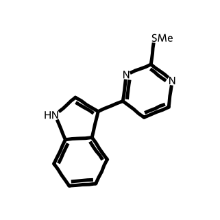 CSc1nccc(-c2c[nH]c3ccccc23)n1